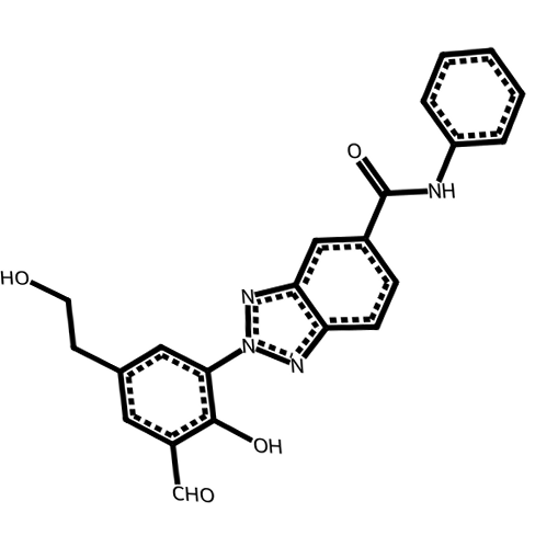 O=Cc1cc(CCO)cc(-n2nc3ccc(C(=O)Nc4ccccc4)cc3n2)c1O